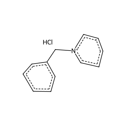 Cl.c1ccc(C[n+]2ccccc2)cc1